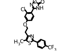 Cc1sc(-c2ccc(C(F)(F)F)cc2)nc1CCOc1ccc(-c2noc(=O)[nH]2)c(Cl)c1